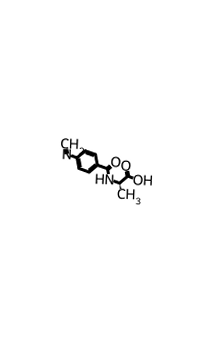 C=Nc1ccc(C(=O)N[C@@H](C)C(=O)O)cc1